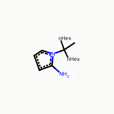 CCCCCCC(C)(CCCCCC)n1cccc1N